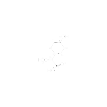 C[C@H](C(=O)O)C1CCC(O)CC1